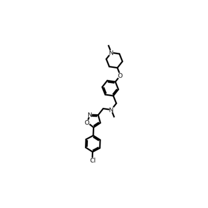 CN1CCC(Oc2cccc(CN(C)Cc3cc(-c4ccc(Cl)cc4)on3)c2)CC1